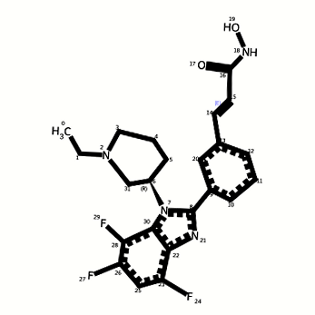 CCN1CCC[C@@H](n2c(-c3cccc(/C=C/C(=O)NO)c3)nc3c(F)cc(F)c(F)c32)C1